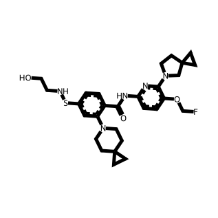 O=C(Nc1ccc(OCF)c(N2CCC3(CC3)C2)n1)c1ccc(SNCCO)cc1N1CCC2(CC1)CC2